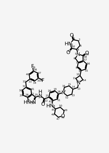 O=C1CCC(N2Cc3cc(C4CN(CC5CCN(c6ccc(C(=O)Nc7n[nH]c8ccc(Cc9cc(F)cc(F)c9)cc78)c(NC7CCOCC7)c6)CC5)C4)ccc3C2=O)C(=O)N1